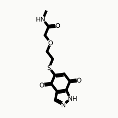 CNC(=O)COCCSC1=CC(=O)c2[nH]ncc2C1=O